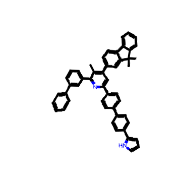 Cc1c(-c2ccc3c(c2)C(C)(C)c2ccccc2-3)cc(-c2ccc(-c3ccc(-c4ccc[nH]4)cc3)cc2)nc1-c1cccc(-c2ccccc2)c1